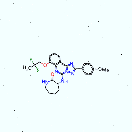 COc1ccc(-c2nc3c4cccc(OCC(C)(F)F)c4nc(N[C@@H]4CCCCNC4=O)n3n2)cc1